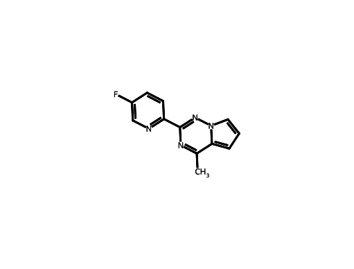 Cc1nc(-c2ccc(F)cn2)nn2cccc12